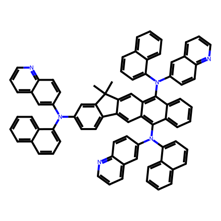 CC1(C)c2cc(N(c3ccc4ncccc4c3)c3cccc4ccccc34)ccc2-c2cc3c(N(c4ccc5ncccc5c4)c4cccc5ccccc45)c4ccccc4c(N(c4ccc5ncccc5c4)c4cccc5ccccc45)c3cc21